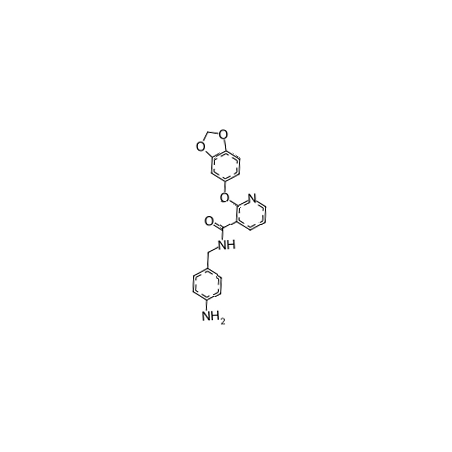 Nc1ccc(CNC(=O)c2cccnc2Oc2ccc3c(c2)OCO3)cc1